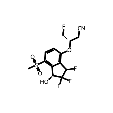 CS(=O)(=O)c1ccc(O[C@H](CF)CC#N)c2c1[C@H](O)C(F)(F)[C@@H]2F